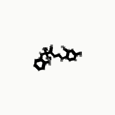 N#CC(C#N)(Oc1ccccc1Cl)C(=O)CCOc1ccc(Cl)cc1F